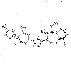 COc1cc(-c2cn([C@@H]3CCc4c(F)cccc4N(CC(F)(F)F)C3=O)nn2)ccc1-n1cnc(C)n1